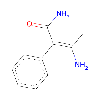 CC(N)=C(C(N)=O)c1ccccc1